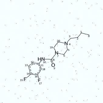 CCCCN1CCN(C(=O)Nc2ccc(F)c(F)c2)CC1